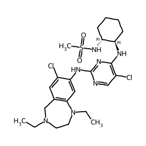 CCN1CCN(CC)c2cc(Nc3ncc(Cl)c(N[C@@H]4CCCC[C@H]4NS(C)(=O)=O)n3)c(Cl)cc2C1